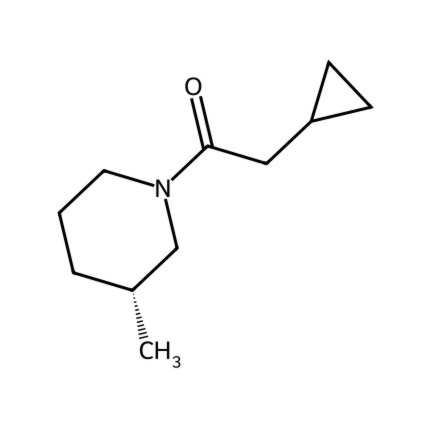 C[C@@H]1CCCN(C(=O)CC2CC2)C1